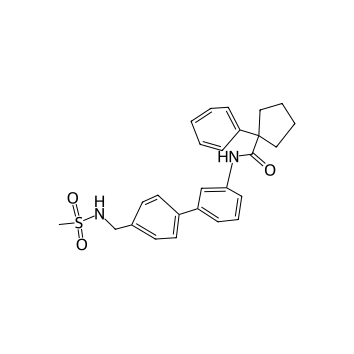 CS(=O)(=O)NCc1ccc(-c2cccc(NC(=O)C3(c4ccccc4)CCCC3)c2)cc1